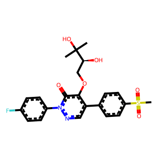 CC(C)(O)[C@@H](O)COc1c(-c2ccc(S(C)(=O)=O)cc2)cnn(-c2ccc(F)cc2)c1=O